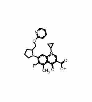 Cc1c(F)c(N2CCCC2COc2ccccn2)cc2c1c(=O)c(C(=O)O)cn2C1CC1